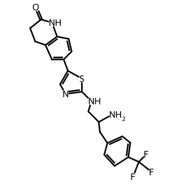 NC(CNc1ncc(-c2ccc3c(c2)CCC(=O)N3)s1)Cc1ccc(C(F)(F)F)cc1